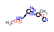 CCOCC(=O)NCC#Cc1ccc2ncnc(Nc3ccc(Oc4cccnc4)c(C)c3)c2c1